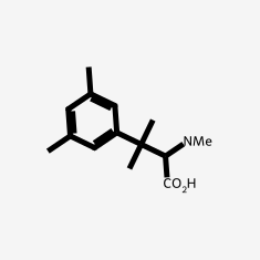 CNC(C(=O)O)C(C)(C)c1cc(C)cc(C)c1